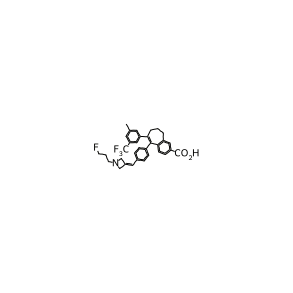 Cc1cc(C2=C(c3ccc(C=C4CN(CCCF)C4)cc3)c3ccc(C(=O)O)cc3CCC2)cc(C(F)(F)F)c1